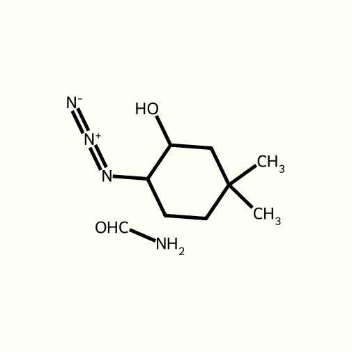 CC1(C)CCC(N=[N+]=[N-])C(O)C1.NC=O